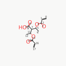 C=CC(=O)OC(C)C(C(=O)O)C(C)OC(=O)C=C